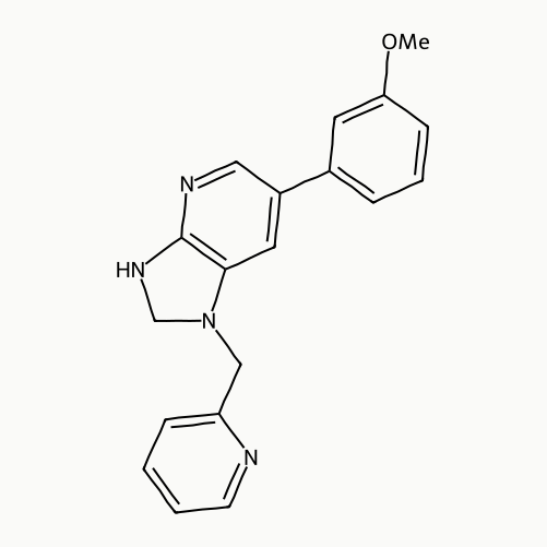 COc1cccc(-c2cnc3c(c2)N(Cc2ccccn2)CN3)c1